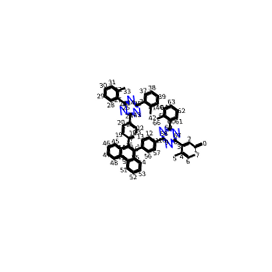 C=C/C=C(\C(C)=C/C)c1nc(-c2ccc(-c3c(C(=C)/C=C\C(=C/C)c4nc(-c5ccccc5C)nc(-c5ccccc5C)n4)c4ccccc4c4ccccc34)cc2)nc(-c2ccccc2C)n1